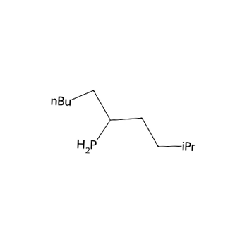 CCCCCC(P)CCC(C)C